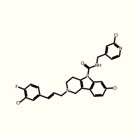 O=C(NCc1ccnc(Cl)c1)n1c2c(c3ccc(Cl)cc31)CN(C/C=C/c1ccc(F)c(Cl)c1)CC2